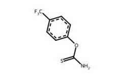 NC(=S)Oc1ccc(C(F)(F)F)cc1